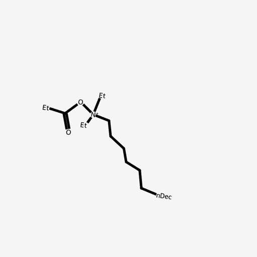 CCCCCCCCCCCCCCCC[N+](CC)(CC)OC(=O)CC